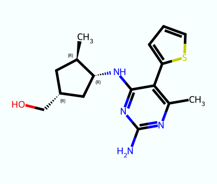 Cc1nc(N)nc(N[C@@H]2C[C@H](CO)C[C@H]2C)c1-c1cccs1